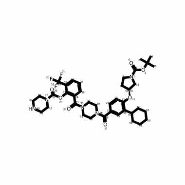 CC(C)(C)OC(=O)N1CC[C@H](Oc2ccc(C(=O)N3CCN(C(=O)c4cccc(C(F)(F)F)c4OC(=O)N4CCNCC4)CC3)cc2C2CCCCC2)C1